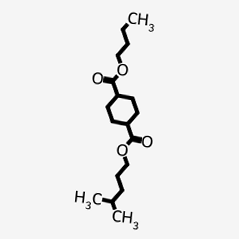 CCCCOC(=O)C1CCC(C(=O)OCCCC(C)C)CC1